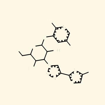 CC(C)c1ncc(Br)cc1SC1OC(CO)C(O)C(n2cc(-c3nc(Cl)cs3)nn2)C1O